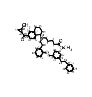 COC(=O)CCCCN(CCc1ccccc1OCc1cccc(CCc2ccccc2)c1)C1CCCc2cc(C(=O)C3CC3C)ccc21